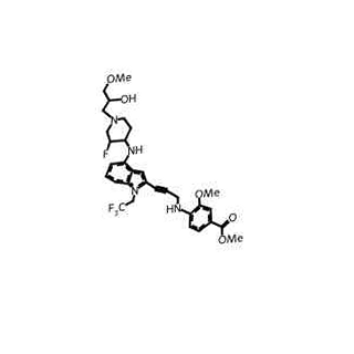 COCC(O)CN1CCC(Nc2cccc3c2cc(C#CCNc2ccc(C(=O)OC)cc2OC)n3CC(F)(F)F)C(F)C1